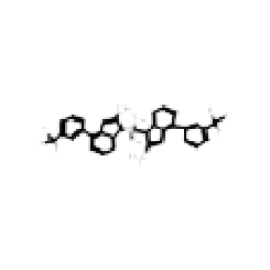 CC1=Cc2c(-c3cccc(C(F)(F)F)c3)cccc2C1[Si](C)(C)C1C(C)=Cc2c(-c3cccc(C(F)(F)F)c3)cccc21